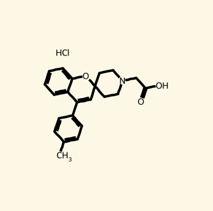 Cc1ccc(C2=CC3(CCN(CC(=O)O)CC3)Oc3ccccc32)cc1.Cl